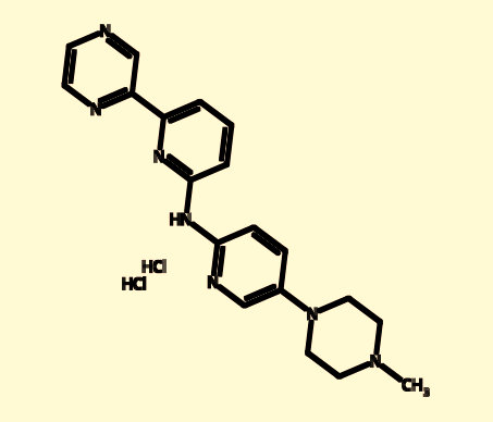 CN1CCN(c2ccc(Nc3cccc(-c4cnccn4)n3)nc2)CC1.Cl.Cl